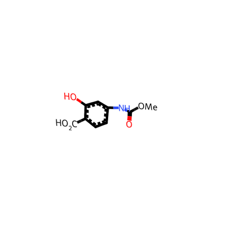 COC(=O)Nc1ccc(C(=O)O)c(O)c1